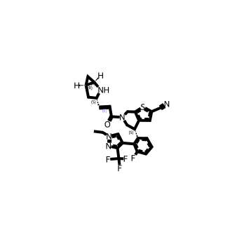 CCn1cc(-c2c(F)cccc2[C@@H]2CN(C(=O)/C=C/[C@@H]3C[C@H]4C[C@H]4N3)Cc3sc(C#N)cc32)c(C(F)(F)F)n1